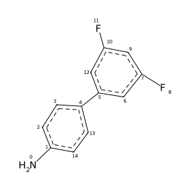 Nc1ccc(-c2cc(F)cc(F)c2)cc1